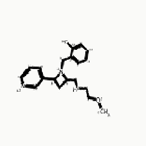 COCCNCC1CC(c2cccnc2)N1Cc1ccccc1F